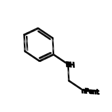 CCCCCCBc1ccccc1